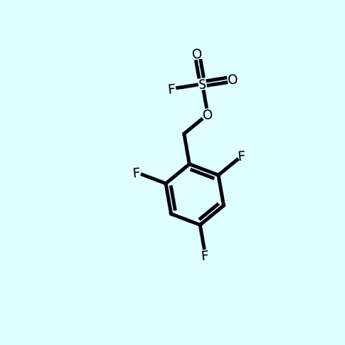 O=S(=O)(F)OCc1c(F)cc(F)cc1F